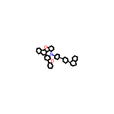 c1ccc2c(-c3ccc(-c4ccc(N(c5cccc6c5oc5ccccc56)c5cccc6oc7c8ccccc8ccc7c56)cc4)cc3)cccc2c1